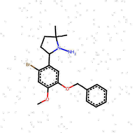 COc1cc(Br)c(C2CCC(C)(C)N2N)cc1OCc1ccccc1